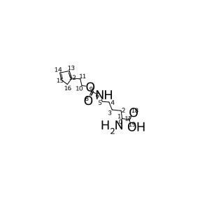 N[C@@H](CCCCNC(=O)OCCC1=CC=CC1)C(=O)O